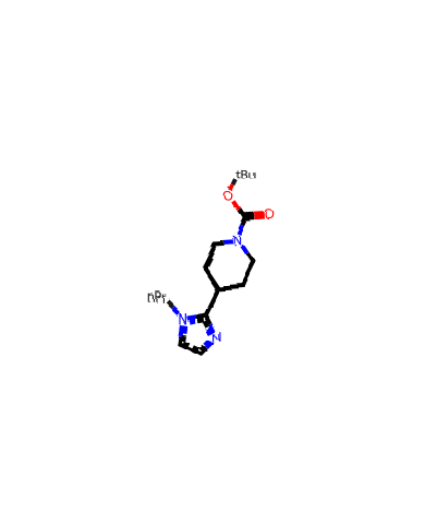 CCCn1ccnc1C1CCN(C(=O)OC(C)(C)C)CC1